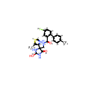 O=C(NCC1(c2ncsc2C(F)(F)F)NC(O)NC1=O)c1cc(F)ccc1-c1ccc(C(F)(F)F)cc1